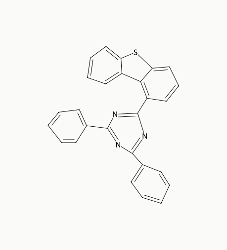 c1ccc(-c2nc(-c3ccccc3)nc(-c3cccc4sc5ccccc5c34)n2)cc1